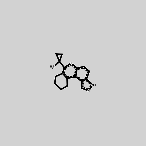 NC1(c2nc3ccc4[nH]ncc4c3c3c2CCCC3)CC1